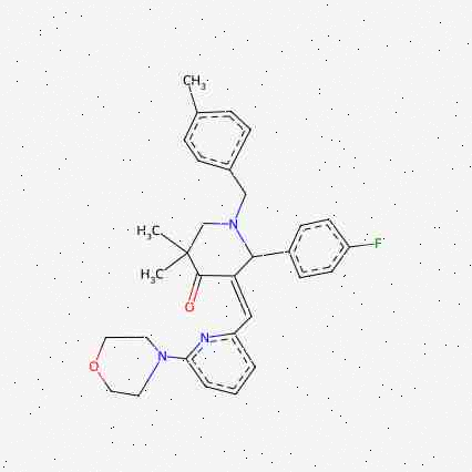 Cc1ccc(CN2CC(C)(C)C(=O)C(=Cc3cccc(N4CCOCC4)n3)C2c2ccc(F)cc2)cc1